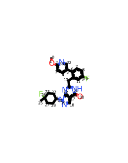 COc1ccc(-c2ccc(F)cc2Cc2nc3c(cnn3C3CCC(C)(F)CC3)c(=O)[nH]2)cn1